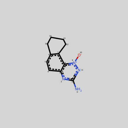 Nc1nc2ccc3c(c2[n+]([O-])n1)CCCC3